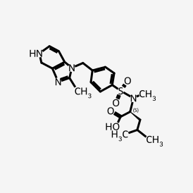 Cc1nc2c(n1Cc1ccc(S(=O)(=O)N(C)[C@@H](CC(C)C)C(=O)O)cc1)C=CNC2